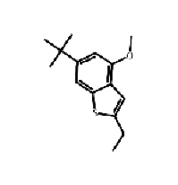 CCc1cc2c(OC)cc(C(C)(C)C)cc2s1